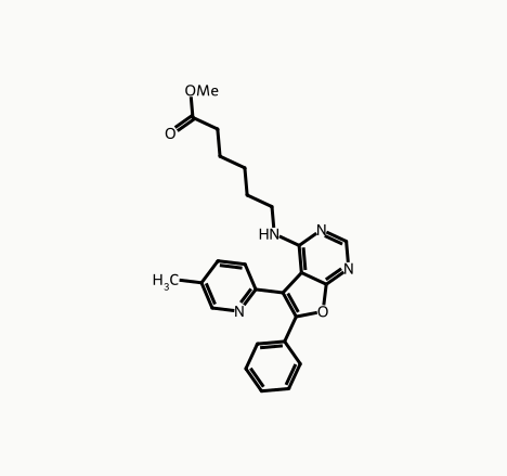 COC(=O)CCCCCNc1ncnc2oc(-c3ccccc3)c(-c3ccc(C)cn3)c12